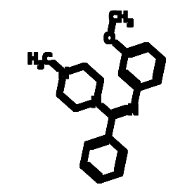 COc1cccc(N=C(c2ccccc2)N2CCN(C)CC2)c1